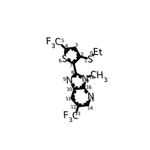 CCSc1cc(C(F)(F)F)sc1-c1nc2cc(C(F)(F)F)cnc2n1C